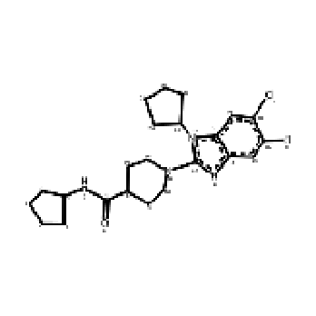 O=C(NC1CCCC1)C1CCN(c2nc3cc(Cl)c(Cl)cc3n2C2CCCC2)CC1